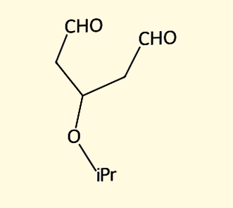 CC(C)OC(CC=O)CC=O